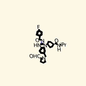 CC(C)NC(=O)[C@H]1CC[C@@H](n2/c(=N/C(=O)c3ccc(F)cc3)[nH]c3ccc(CN4CCC[C@@H]4C=O)cc32)CC1